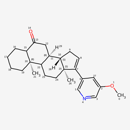 COc1cncc(C2=CC[C@H]3[C@@H]4CC(=O)C5CCCC[C@]5(C)C4CC[C@]23C)c1